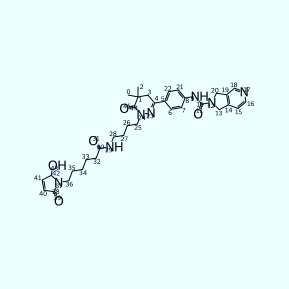 CC1(C)CC(c2ccc(NC(=O)N3Cc4ccncc4C3)cc2)=NN(CCCCNC(=O)CCCCCN2C(=O)C=CC2O)C1=O